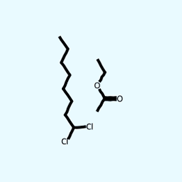 CCCCCCCC(Cl)Cl.CCOC(C)=O